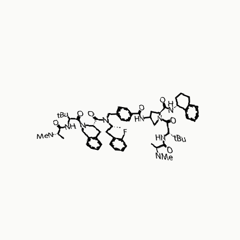 CN[C@@H](C)C(=O)NC(C(=O)N1Cc2ccccc2C[C@H]1C(=O)N(Cc1ccc(C(=O)NC2C[C@@H](C(=O)N[C@@H]3CCCc4ccccc43)N(C(=O)[C@@H](NC(=O)[C@H](C)NC)C(C)(C)C)C2)cc1)[C@H](C)Cc1ccccc1F)C(C)(C)C